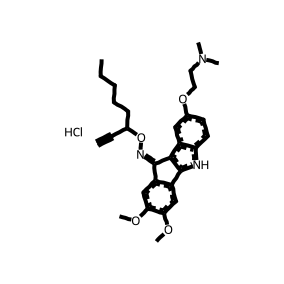 C#CC(CCCCC)ON=C1c2cc(OC)c(OC)cc2-c2[nH]c3ccc(OCCN(C)C)cc3c21.Cl